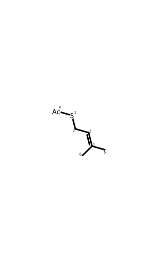 CC(=O)SCC=C(C)C